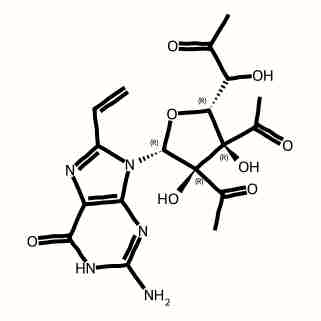 C=Cc1nc2c(=O)[nH]c(N)nc2n1[C@@H]1O[C@H](C(O)C(C)=O)[C@](O)(C(C)=O)[C@]1(O)C(C)=O